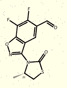 C[C@H]1CSC(=O)N1c1noc2c(F)c(F)c(C=O)cc12